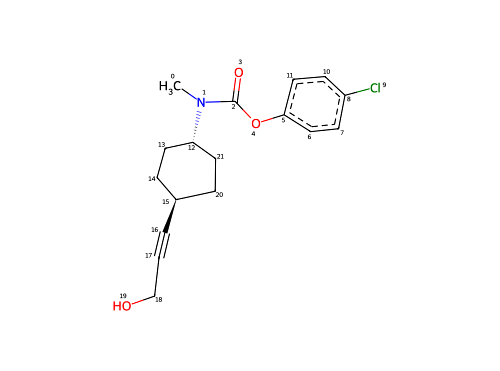 CN(C(=O)Oc1ccc(Cl)cc1)[C@H]1CC[C@H](C#CCO)CC1